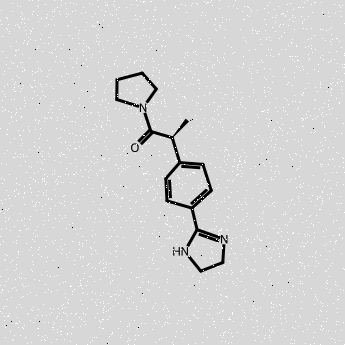 [CH2][C@H](C(=O)N1CCCC1)c1ccc(C2=NCCN2)cc1